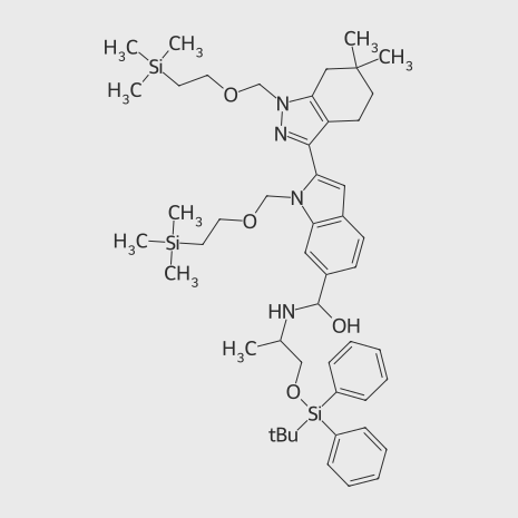 CC(CO[Si](c1ccccc1)(c1ccccc1)C(C)(C)C)NC(O)c1ccc2cc(-c3nn(COCC[Si](C)(C)C)c4c3CCC(C)(C)C4)n(COCC[Si](C)(C)C)c2c1